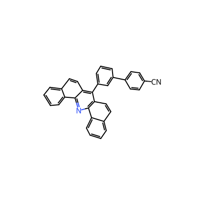 N#Cc1ccc(-c2cccc(-c3c4ccc5ccccc5c4nc4c3ccc3ccccc34)c2)cc1